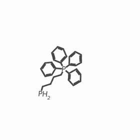 PCCCCP(c1ccccc1)(c1ccccc1)(c1ccccc1)c1ccccc1